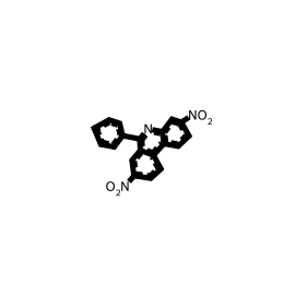 O=[N+]([O-])c1ccc2c(c1)nc(-c1ccccc1)c1cc([N+](=O)[O-])ccc12